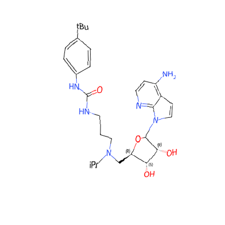 CC(C)N(CCCNC(=O)Nc1ccc(C(C)(C)C)cc1)C[C@H]1OC(n2ccc3c(N)ccnc32)[C@H](O)[C@@H]1O